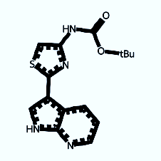 CC(C)(C)OC(=O)Nc1csc(-c2c[nH]c3ncccc23)n1